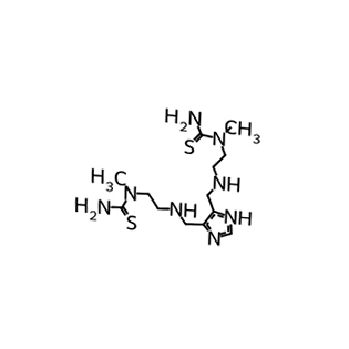 CN(CCNCc1nc[nH]c1CNCCN(C)C(N)=S)C(N)=S